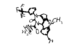 CCSc1cc(C#N)ccc1C1C2=C(CCC2=O)N(c2cccc(C(F)(F)F)c2)C(=O)N1C(=O)NC